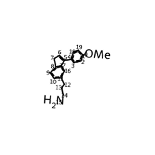 COc1ccc(C2=CCc3ccc(CCCN)cc32)cc1